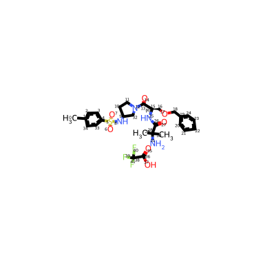 Cc1ccc(S(=O)(=O)NC2CCN(C(=O)[C@@H](COCc3ccccc3)NC(=O)C(C)(C)N)C2)cc1.O=C(O)C(F)(F)F